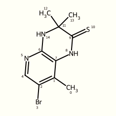 Cc1c(Br)cnc2c1NC(=S)C(C)(C)N2